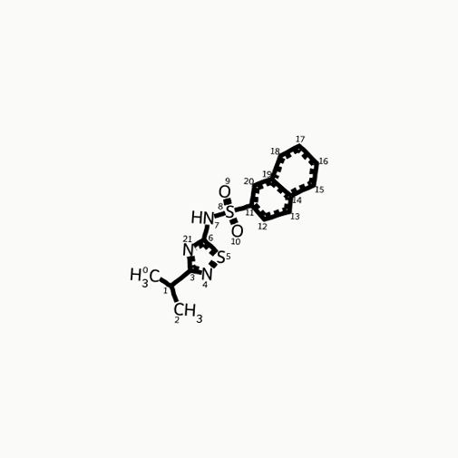 CC(C)c1nsc(NS(=O)(=O)c2ccc3ccccc3c2)n1